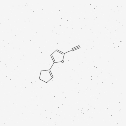 C#Cc1ccc(C2=CCCC2)o1